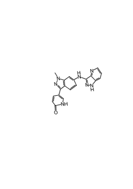 Cn1nc(-c2ccc(=O)[nH]c2)c2ccc(Nc3n[nH]c4cccnc34)cc21